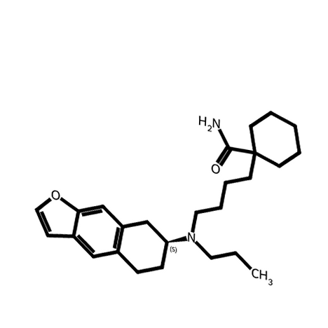 CCCN(CCCCC1(C(N)=O)CCCCC1)[C@H]1CCc2cc3ccoc3cc2C1